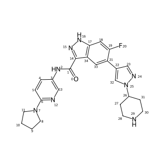 O=C(Nc1ccc(N2CCCC2)nc1)c1n[nH]c2cc(F)c(-c3cnn(C4CCNCC4)c3)cc12